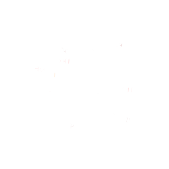 O=P(O)(O)Oc1c(Br)cc(Br)cc1-c1cc(Br)cc(Br)c1O